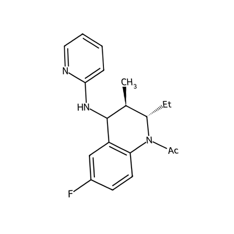 CC[C@H]1[C@H](C)C(Nc2ccccn2)c2cc(F)ccc2N1C(C)=O